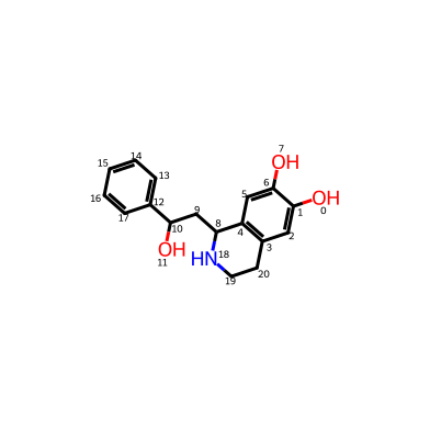 Oc1cc2c(cc1O)C(CC(O)c1ccccc1)NCC2